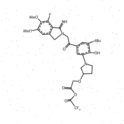 COc1cc2c(c(F)c1OC)C(=N)N(CC(=O)c1cc(N3CCC(OCC(=O)OC(=O)C(F)(F)F)C3)c(O)c(C(C)(C)C)c1)C2